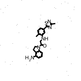 Cc1nsc(-c2ccc(C)c(NCC(=O)N3CCc4c(N)cccc43)c2)n1